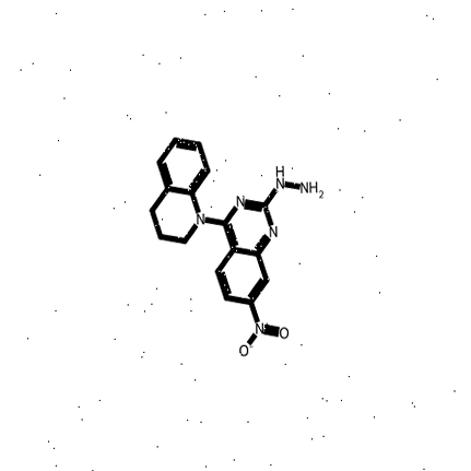 NNc1nc(N2CCCc3ccccc32)c2ccc([N+](=O)[O-])cc2n1